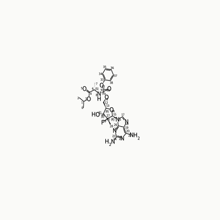 CC(C)OC(=O)[C@H](C)N[P@](=O)(OC[C@H]1O[C@@H](n2cnc3c(N)nc(N)nc32)[C@](C)(F)[C@@H]1O)Oc1ccccc1